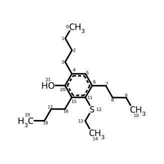 CCCCc1cc(CCCC)c(SCC)c(CCCC)c1O